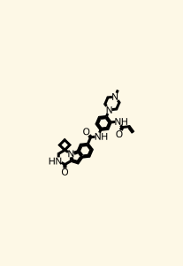 C=CC(=O)Nc1cc(NC(=O)c2ccc3cc4n(c3c2)C2(CCC2)CNC4=O)ccc1N1CCN(C)CC1